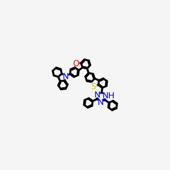 C1=CC2C(CC1)c1ccccc1N2c1ccc2c(c1)oc1cccc(-c3ccc4sc5c(C6N=C(c7ccccc7)N=C(c7ccccc7)N6)cccc5c4c3)c12